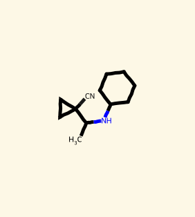 CC(NC1CCCCC1)C1(C#N)CC1